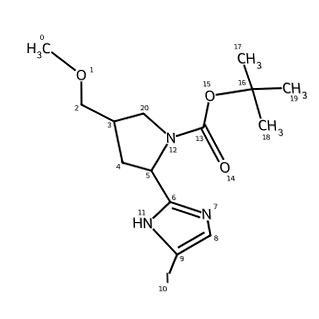 COCC1CC(c2ncc(I)[nH]2)N(C(=O)OC(C)(C)C)C1